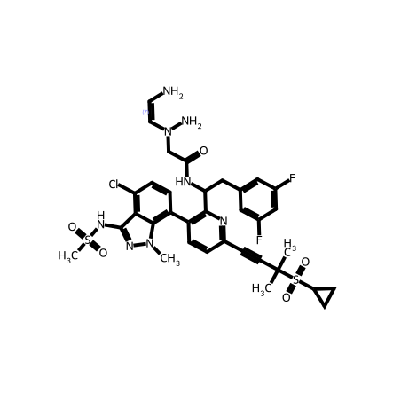 Cn1nc(NS(C)(=O)=O)c2c(Cl)ccc(-c3ccc(C#CC(C)(C)S(=O)(=O)C4CC4)nc3C(Cc3cc(F)cc(F)c3)NC(=O)CN(N)/C=C\N)c21